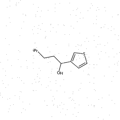 C[C](C)CCC(O)c1ccsc1